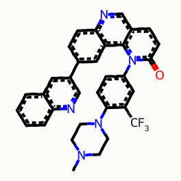 CN1CCN(c2ccc(-n3c(=O)ccc4cnc5ccc(-c6cnc7ccccc7c6)cc5c43)cc2C(F)(F)F)CC1